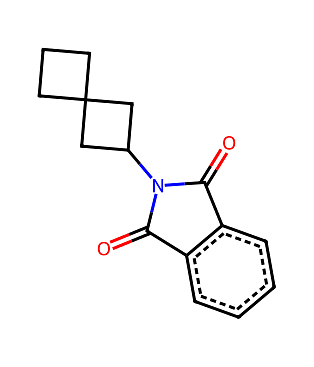 O=C1c2ccccc2C(=O)N1C1CC2(CCC2)C1